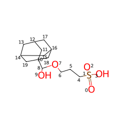 O=S(=O)(O)CCCOC(O)C12CC3CC(CC(C3)C1)C2